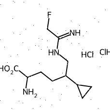 Cl.Cl.N=C(CF)NCC(CCC(N)C(=O)O)C1CC1